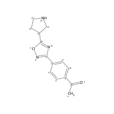 CC(=O)c1ccc(-c2noc(C3CCNC3)n2)cc1